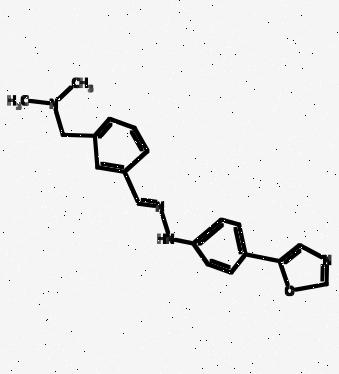 CN(C)Cc1cccc(/C=N/Nc2ccc(-c3cnco3)cc2)c1